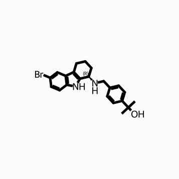 CC(C)(O)c1ccc(CN[C@@H]2CCCc3c2[nH]c2ccc(Br)cc32)cc1